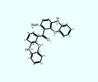 O=C(c1cccc2c1Oc1ccccc1N2)c1cccc2c1Oc1ccccc1N2.[NaH]